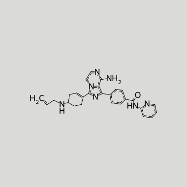 C=CCNC1CC=C(c2nc(-c3ccc(C(=O)Nc4ccccn4)cc3)c3c(N)nccn23)CC1